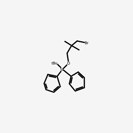 CC(C)(CBr)CO[Si](c1ccccc1)(c1ccccc1)C(C)(C)C